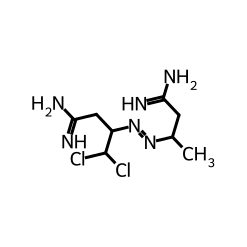 CC(CC(=N)N)N=NC(CC(=N)N)C(Cl)Cl